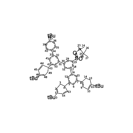 CC(C)(C)C1=CCC(c2cc(C3=CC=C(C(C)(C)C)CC3)cc(-c3cc(B4OC(C)(C)C(C)(C)O4)cc(-c4cc(-c5ccc(C(C)(C)C)cc5)cc(C5C=CC(C(C)(C)C)=CC5)c4)c3)c2)C=C1